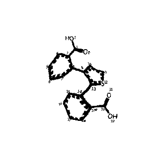 O=C(O)c1ccccc1-c1ccsc1-c1ccccc1C(=O)O